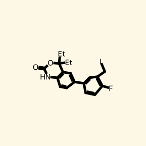 CCC1(CC)OC(=O)Nc2ccc(-c3ccc(F)c(CI)c3)cc21